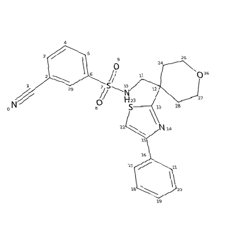 N#Cc1cccc(S(=O)(=O)NCC2(c3nc(-c4ccccc4)cs3)CCOCC2)c1